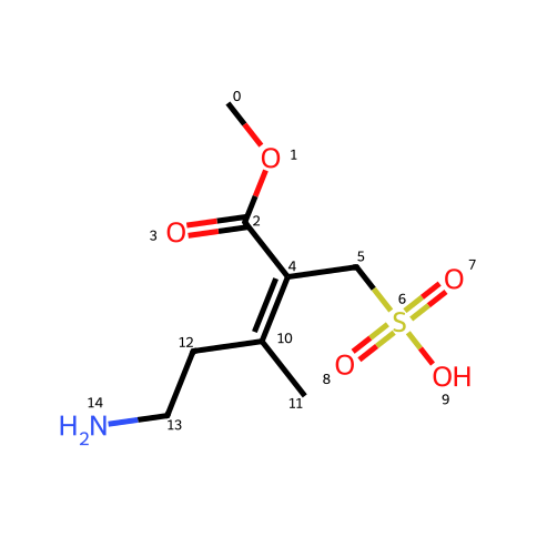 COC(=O)C(CS(=O)(=O)O)=C(C)CCN